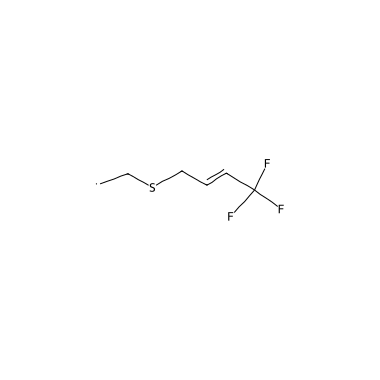 [CH2]CSCC=CC(F)(F)F